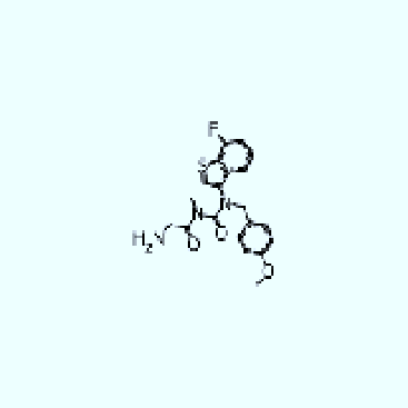 COc1ccc(CN(C(=O)N(C)C(=O)CN)c2csc3c(F)cccc23)cc1